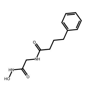 O=C(CNC(=O)CCCc1ccccc1)NO